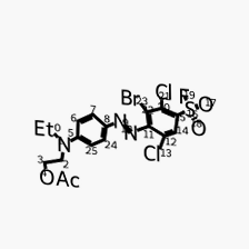 CCN(CCOC(C)=O)c1ccc(/N=N/c2c(Cl)cc(S(=O)(=O)F)c(Cl)c2Br)cc1